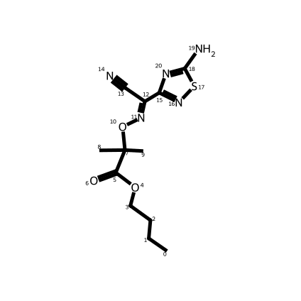 CCCCOC(=O)C(C)(C)ON=C(C#N)c1nsc(N)n1